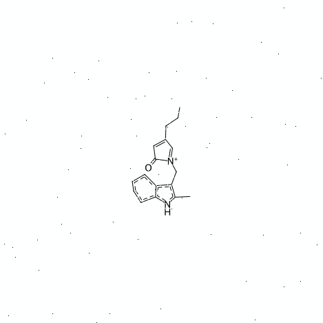 CCCC1=CC(=O)[N+](Cc2c(C)[nH]c3ccccc23)=C1